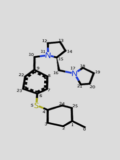 CC1CCC(Sc2ccc(CN3CCC[C@H]3CN3CCCC3)cc2)CC1